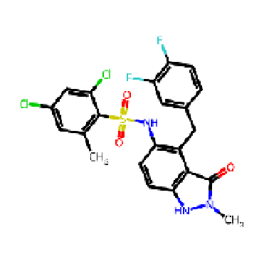 Cc1cc(Cl)cc(Cl)c1S(=O)(=O)Nc1ccc2[nH]n(C)c(=O)c2c1Cc1ccc(F)c(F)c1